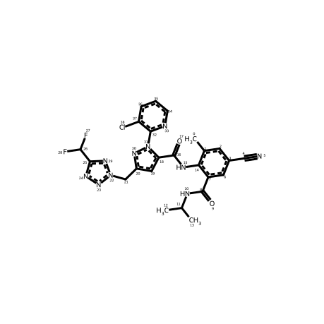 Cc1cc(C#N)cc(C(=O)NC(C)C)c1NC(=O)c1cc(Cn2nnc(C(F)F)n2)nn1-c1ncccc1Cl